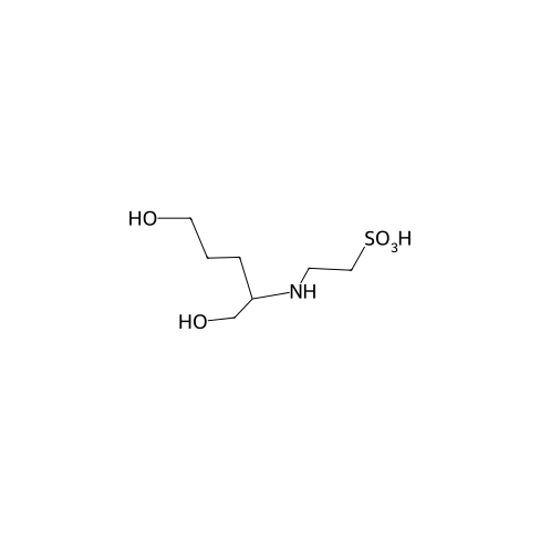 O=S(=O)(O)CCNC(CO)CCCO